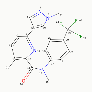 Cc1ccc(-c2cnn(C)c2)nc1C(=O)N(C)c1ccc(C(F)(F)F)cc1